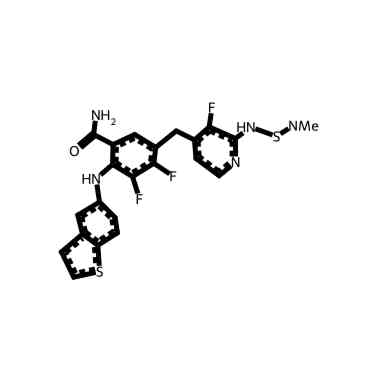 CNSNc1nccc(Cc2cc(C(N)=O)c(Nc3ccc4sccc4c3)c(F)c2F)c1F